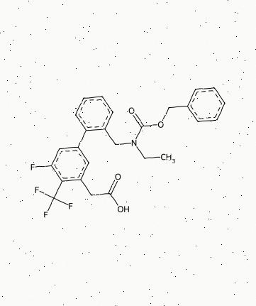 CCN(Cc1ccccc1-c1cc(F)c(C(F)(F)F)c(CC(=O)O)c1)C(=O)OCc1ccccc1